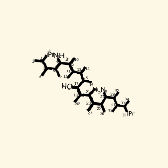 CC(C)C(C)C(C)C(C)C(N)C(C)C(C)C(C)C(C)C(O)C(C)C(C)C(C)C(C)C(N)C(C)C(C)C(C)C(C)C